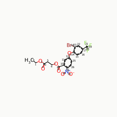 CCOC(=O)CCOC(=O)c1cc(Oc2ccc(C(F)(F)F)cc2Br)ccc1[N+](=O)[O-]